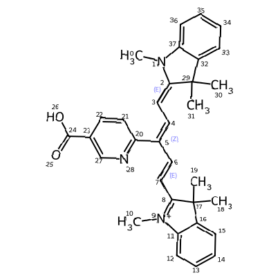 CN1/C(=C/C=C(/C=C/C2=[N+](C)c3ccccc3C2(C)C)c2ccc(C(=O)O)cn2)C(C)(C)c2ccccc21